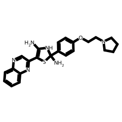 NC1=C(c2cnc3ccccc3n2)SC(N)(c2ccc(OCCN3CCCC3)cc2)N1